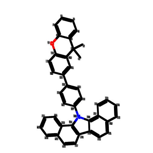 CC1(C)c2ccccc2Oc2ccc(-c3ccc(-n4c5c6ccccc6ccc5c5ccc6ccccc6c54)cc3)cc21